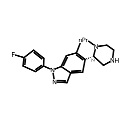 CCCN1CCNC[C@@H]1c1cc2cnn(-c3ccc(F)cc3)c2cc1C